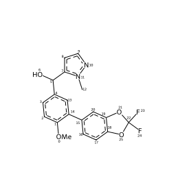 COc1ccc(C(O)c2ccnn2C)cc1-c1ccc2c(c1)OC(F)(F)O2